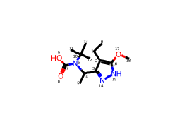 CCc1c(C(C)N(C(=O)O)C(C)(C)C)n[nH]c1OC